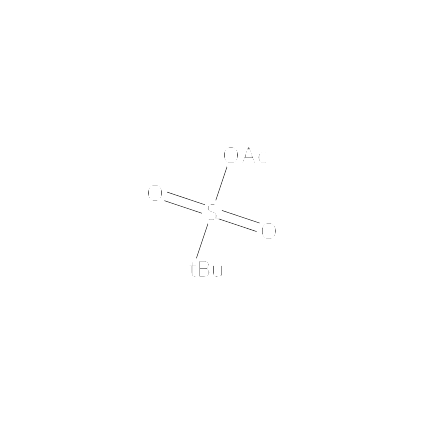 CC(=O)OS(=O)(=O)C(C)(C)C